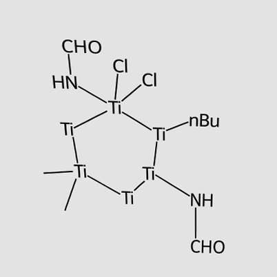 CCC[CH2][Ti]1[Ti]([NH]C=O)[Ti][Ti]([CH3])([CH3])[Ti][Ti]1([Cl])([Cl])[NH]C=O